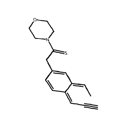 C#C/C=c1/ccc(CC(=S)N2CCOCC2)c/c1=C/C